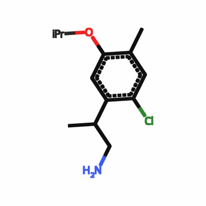 Cc1cc(Cl)c(C(C)CN)cc1OC(C)C